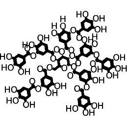 O=C(OCC1O[C@H](OC(=O)c2cc(O)c(O)c(OC(=O)c3cc(O)c(O)c(O)c3)c2)[C@H](OC(=O)c2cc(O)c(O)c(OC(=O)c3cc(O)c(O)c(O)c3)c2)[C@@H](OC(=O)c2cc(O)c(O)c(OC(=O)c3cc(O)c(O)c(O)c3)c2)[C@@H]1OC(=O)c1cc(O)c(O)c(OC(=O)c2cc(O)c(O)c(O)c2)c1)c1cc(O)c(O)c(OC(=O)c2cc(O)c(O)c(O)c2)c1